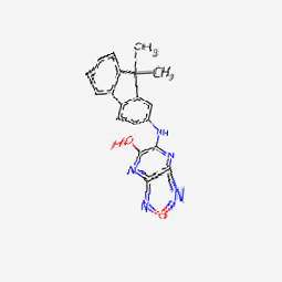 CC1(C)c2ccccc2-c2ccc(Nc3nc4nonc4nc3O)cc21